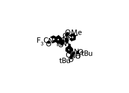 COC(=O)[C@H]1C[C@@H](C)CCN1C(=O)[C@H](CC1=CCCN(C(=NC(=O)OC(C)(C)C)NC(=O)OC(C)(C)C)C1)NS(=O)(=O)c1ccc2c(c1)CN(C(=O)C(F)(F)F)CC2